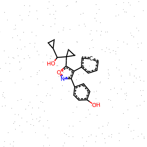 Oc1ccc(-c2noc(C3(C(O)C4CC4)CC3)c2-c2ccccc2)cc1